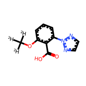 [2H]C([2H])([2H])Oc1cccc(-n2nccn2)c1C(=O)O